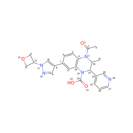 CC(=O)N1c2ccc(-c3cnn(C4COC4)c3)cc2N(C(=O)O)C(c2cccnc2)C1C